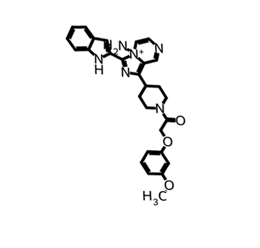 COc1cccc(OCC(=O)N2CCC(C3=C4C=NC=C[N+]4(N)C(c4cc5ccccc5[nH]4)=N3)CC2)c1